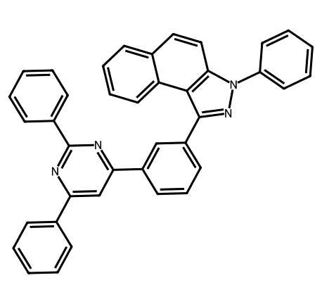 c1ccc(-c2cc(-c3cccc(-c4nn(-c5ccccc5)c5ccc6ccccc6c45)c3)nc(-c3ccccc3)n2)cc1